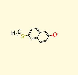 CSc1ccc2cc([O])ccc2c1